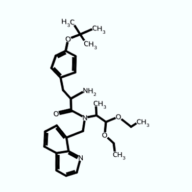 CCOC(OCC)C(C)N(Cc1cccc2cccnc12)C(=O)C(N)Cc1ccc(OC(C)(C)C)cc1